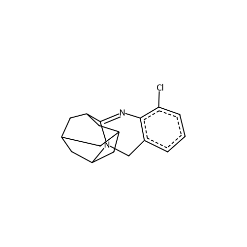 Clc1cccc2c1N=C1C3CC4CC(C3)CC(C4)N1C2